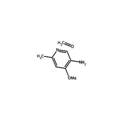 C=O.COc1cc(C)ncc1N